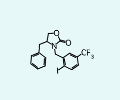 O=C1OCC(Cc2ccccc2)N1Cc1cc(C(F)(F)F)ccc1I